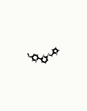 CSc1ccc(-c2cccc(OCc3cccs3)n2)nc1